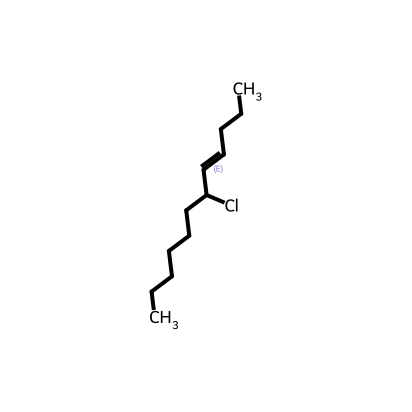 CCC/C=C/C(Cl)CCCCCC